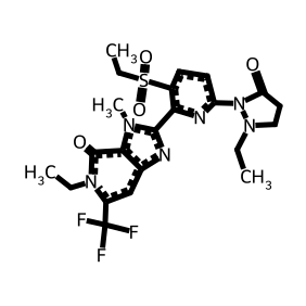 CCN1CCC(=O)N1c1ccc(S(=O)(=O)CC)c(-c2nc3cc(C(F)(F)F)n(CC)c(=O)c3n2C)n1